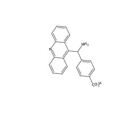 NC(c1ccc(C(=O)O)cc1)c1c2ccccc2nc2ccccc12